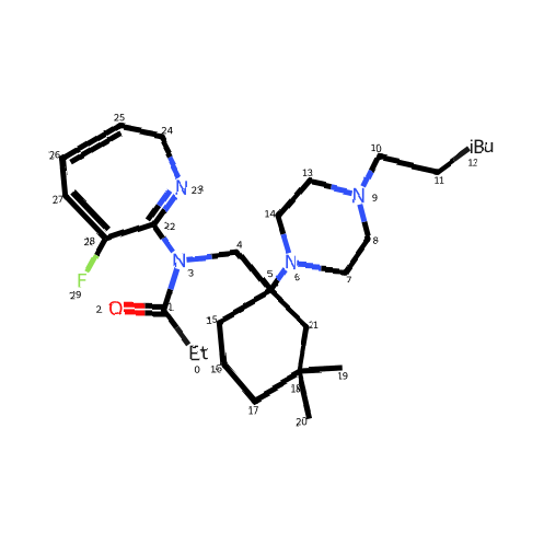 CCC(=O)N(CC1(N2CCN(CCC(C)CC)CC2)CCCC(C)(C)C1)C1=NCC=CC=C1F